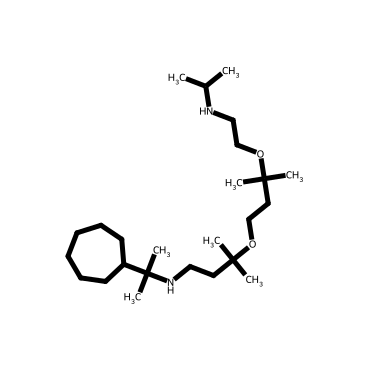 CC(C)NCCOC(C)(C)CCOC(C)(C)CCNC(C)(C)C1CCCCCC1